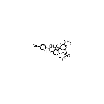 C[C@@]1(c2cc(NC(=O)c3ccc(C#N)cn3)ccn2)C[C@@H](CS(C)(=O)=O)SC(N)=N1